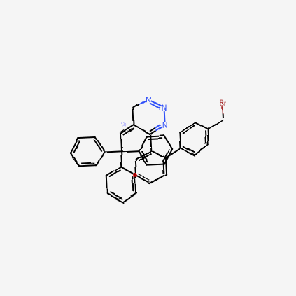 BrCc1ccc(-c2ccccc2C2=NN=NC/C2=C/C(c2ccccc2)(c2ccccc2)c2ccccc2)cc1